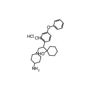 Cl.Cl.NC1CCN(CC(c2ccc(Oc3ccccc3)cc2)C2(O)CCCCC2)CC1